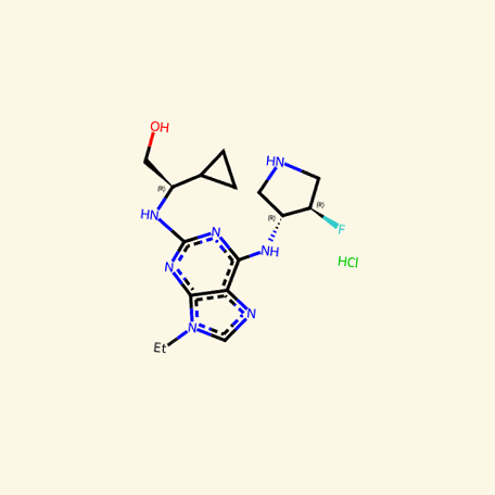 CCn1cnc2c(N[C@@H]3CNC[C@H]3F)nc(N[C@@H](CO)C3CC3)nc21.Cl